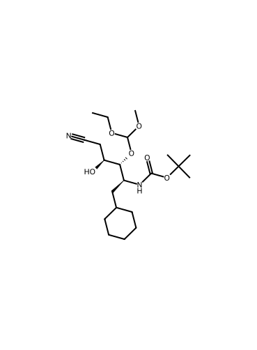 CCOC(OC)O[C@H]([C@H](CC1CCCCC1)NC(=O)OC(C)(C)C)[C@@H](O)CC#N